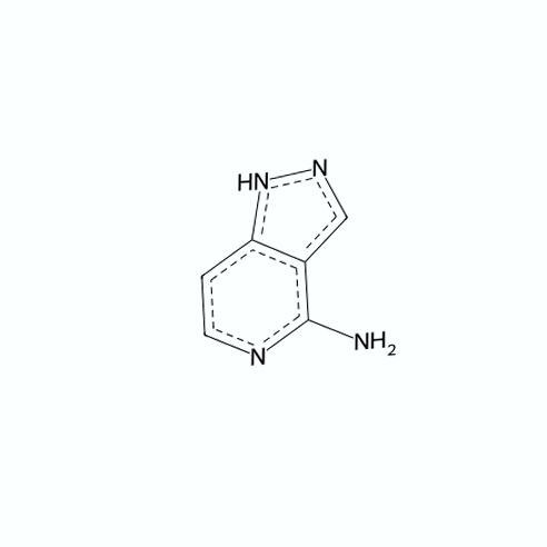 Nc1nccc2[nH]ncc12